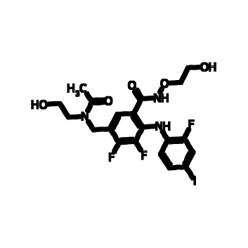 CC(=O)N(CCO)Cc1cc(C(=O)NOCCO)c(Nc2ccc(I)cc2F)c(F)c1F